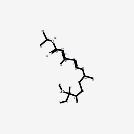 CCC(C)(OC)C(C)CCC(C)C/C=C/C(C)=C/C(=O)OC(C)C